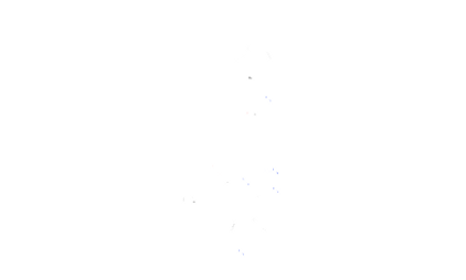 CCc1ccc(NC(=O)CSc2nnc(-c3ccncc3)n2C(=O)OC(C)(C)C)cc1